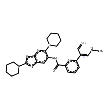 CN/C=C(\C=N)c1cccc(C(=O)Nc2cc3oc(N4CCCCC4)nc3nc2N2CCCCC2)n1